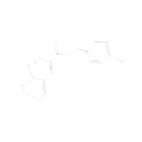 Nc1ccc(C=CC(=O)c2cnc3ccccc3n2)cc1